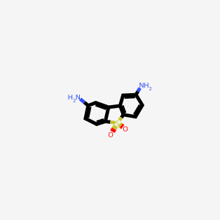 Nc1ccc2c(c1)-c1cc(N)ccc1S2(=O)=O